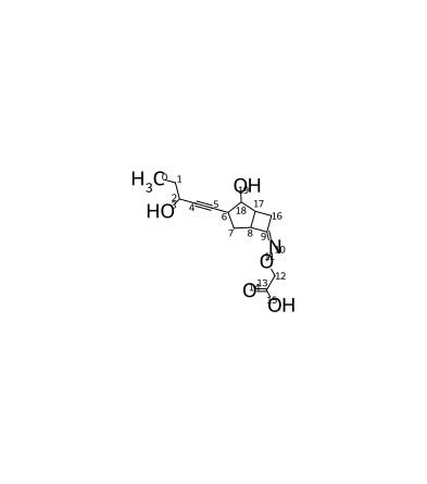 CCC(O)C#CC1CC2/C(=N\OCC(=O)O)CC2C1O